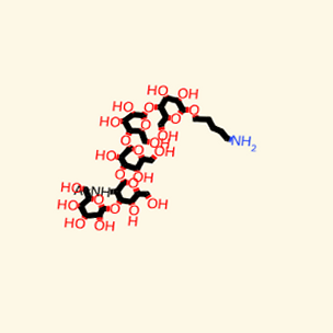 CC(=O)NC1C(OC2C(O)C(CO)OC(OC3C(CO)OC(OC4C(CO)OC(OCCCCCN)C(O)C4O)C(O)C3O)C2O)OC(CO)C(O)C1OC1OC(CO)C(O)C(O)C1O